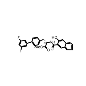 COC(=O)[C@H](Cc1ccc(-c2cc(F)cc(F)c2)cc1)NC(=O)c1cc2ccccc2cc1O